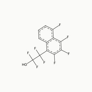 OC(F)(F)C(F)(F)c1c(F)c(F)c(F)c2c(F)cccc12